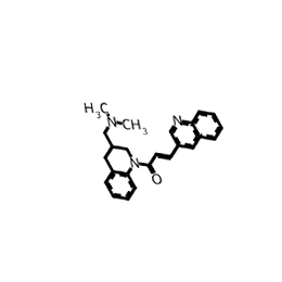 CN(C)CC1Cc2ccccc2N(C(=O)/C=C/c2cnc3ccccc3c2)C1